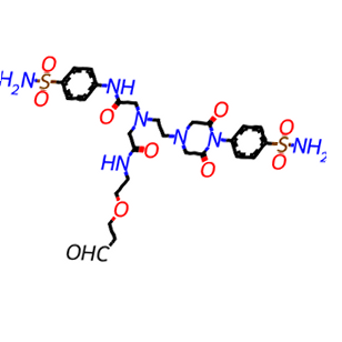 NS(=O)(=O)c1ccc(NC(=O)CN(CCN2CC(=O)N(c3ccc(S(N)(=O)=O)cc3)C(=O)C2)CC(=O)NCCOCCC=O)cc1